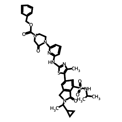 Cc1nc(Nc2cccc(N3CCN(C(=O)OCc4ccccc4)CC3=O)n2)sc1-c1cc2c(c(S(=O)(=O)NC(C)C)c1)C(=O)N(C(C)C1CC1)C2